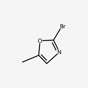 Cc1cnc(Br)o1